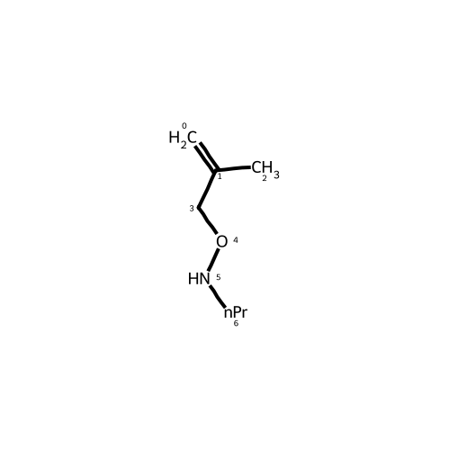 C=C(C)CONCCC